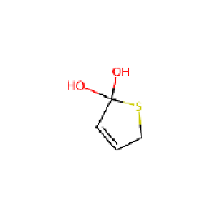 OC1(O)C=CCS1